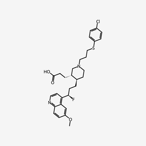 COc1ccc2nccc([C@H](F)CC[C@@H]3CCN(CCCSc4ccc(Cl)cc4)C[C@H]3CCC(=O)O)c2c1